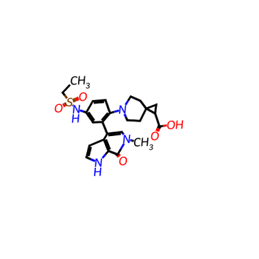 CCS(=O)(=O)Nc1ccc(N2CCC3(CC2)CC3C(=O)O)c(-c2cn(C)c(=O)c3[nH]ccc23)c1